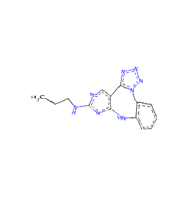 CCCNc1ncc2c(n1)Nc1ccccc1-n1nnnc1-2